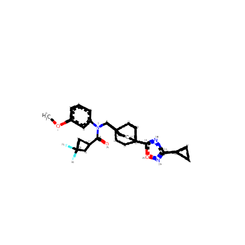 COc1cccc(N(CC23CCC(c4nc(C5CC5)no4)(CC2)CC3)C(=O)C2CC(F)(F)C2)c1